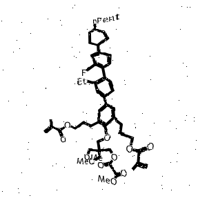 C=C(C)C(=O)OCCCc1cc(-c2ccc(-c3ccc(C4CCC(CCCCC)CC4)cc3F)c(CC)c2)cc(CCCOC(=O)C(=C)C)c1OCC(COC)(COC)COC(=O)C(=O)OC